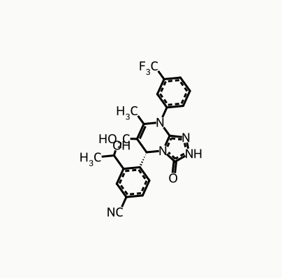 CC1=C(C(=O)O)[C@@H](c2ccc(C#N)cc2C(C)O)n2c(n[nH]c2=O)N1c1cccc(C(F)(F)F)c1